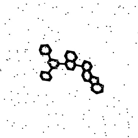 c1ccc(-c2nc(-c3ccccc3)nc(-c3ccc(-c4cccc5c4ccc4c6cccnc6sc54)c4ccccc34)n2)cc1